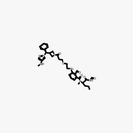 CCCC(C(=O)NC=O)N(C)C(=O)c1cccc(NCCOCCC(=O)N2CC(C(c3ccccc3)n3cc(NC)cn3)C2)c1C=O